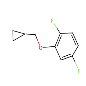 Fc1[c]c(OCC2CC2)c(F)cc1